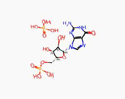 Nc1nc2c(ncn2[C@@H]2O[C@H](COP(=O)(O)O)[C@@H](O)[C@H]2O)c(=O)[nH]1.O=P(O)(O)O